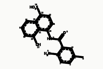 Cc1ccc(N)c(C(=O)Nc2ccc(S(=O)(=O)O)c3cccc(O)c23)c1